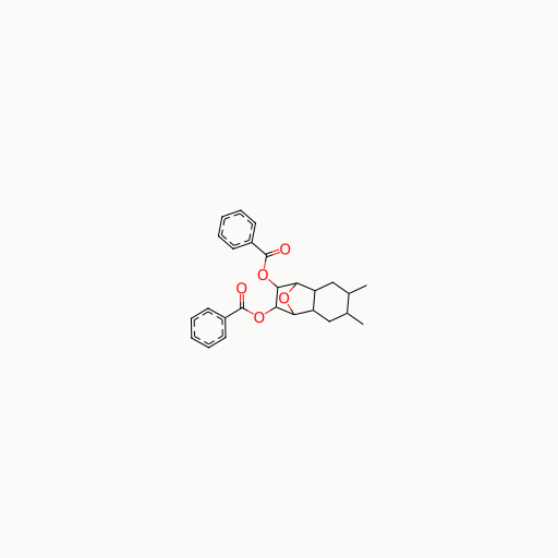 CC1CC2C(CC1C)C1OC2C(OC(=O)c2ccccc2)C1OC(=O)c1ccccc1